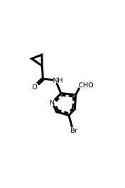 O=Cc1cc(Br)cnc1NC(=O)C1CC1